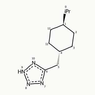 CC(C)[C@H]1CC[C@H](Cc2nn[nH]n2)CC1